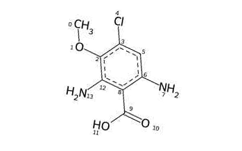 COc1c(Cl)cc(N)c(C(=O)O)c1N